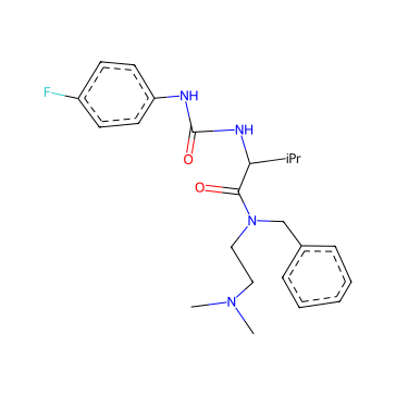 CC(C)C(NC(=O)Nc1ccc(F)cc1)C(=O)N(CCN(C)C)Cc1ccccc1